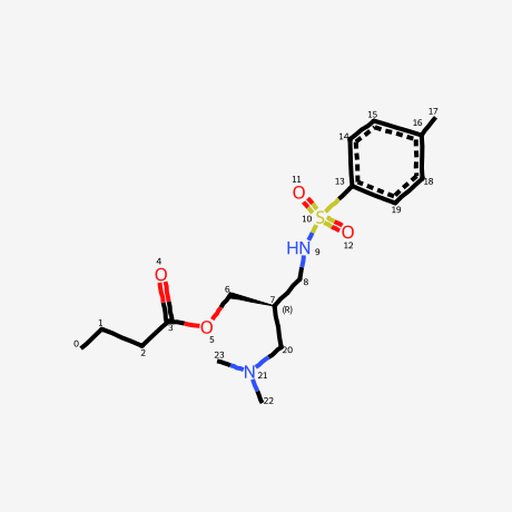 CCCC(=O)OC[C@@H](CNS(=O)(=O)c1ccc(C)cc1)CN(C)C